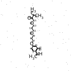 CNc1ccc(OCCCOCCCOCC(=O)C(C)C)cc1F